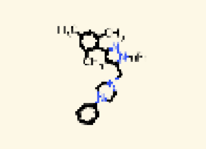 CCCn1nc(-c2c(C)cc(C)cc2C)cc1CN1CCN(c2ccccc2)CC1